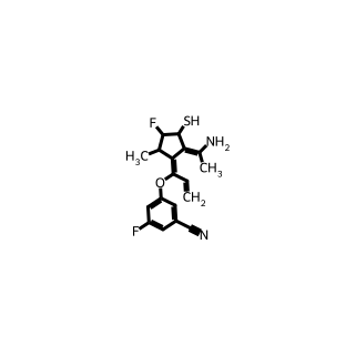 C=C/C(Oc1cc(F)cc(C#N)c1)=C1\C(=C(/C)N)C(S)C(F)C1C